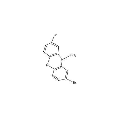 CN1c2cc(Br)ccc2Oc2ccc(Br)cc21